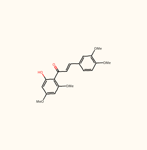 COc1cc(O)c(C(=O)C=Cc2ccc(OC)c(OC)c2)c(OC)c1